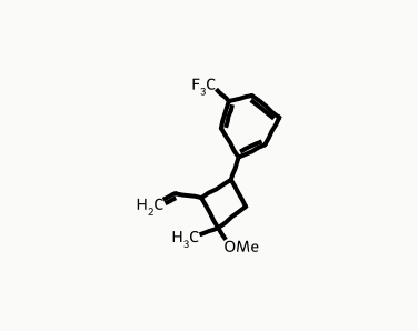 C=CC1C(c2cccc(C(F)(F)F)c2)CC1(C)OC